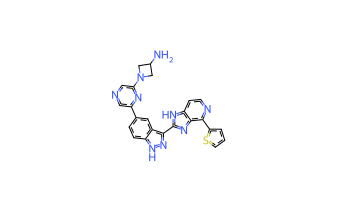 NC1CN(c2cncc(-c3ccc4[nH]nc(-c5nc6c(-c7cccs7)nccc6[nH]5)c4c3)n2)C1